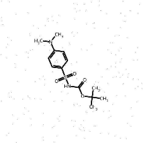 CN(C)c1ccc(S(=O)(=O)NC(=O)OC(C)(C)C)cc1